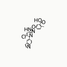 Cc1ccc(Oc2nc3nc(-c4ccc5c(ccn5C)c4)c(Cl)cc3[nH]2)cc1C(=O)O